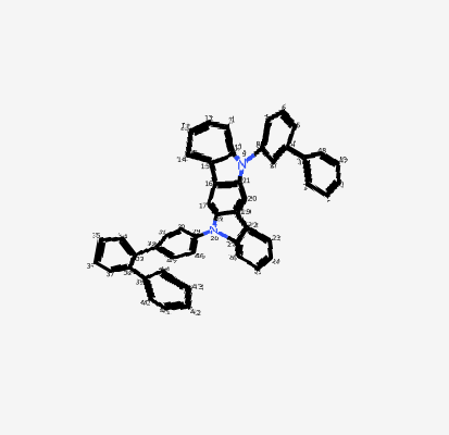 c1ccc(-c2cccc(-n3c4ccccc4c4cc5c(cc43)c3ccccc3n5-c3ccc(-c4ccccc4-c4ccccc4)cc3)c2)cc1